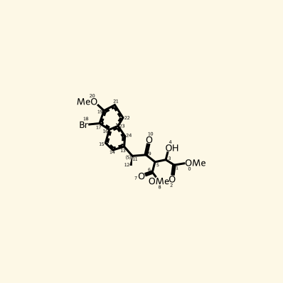 COC(=O)C(O)C(C(=O)OC)C(=O)[C@@H](C)c1ccc2c(Br)c(OC)ccc2c1